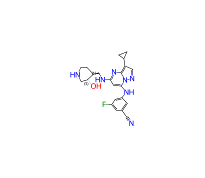 N#Cc1cc(F)cc(Nc2cc(NC[C@@H]3CCNC[C@H]3O)nc3c(C4CC4)cnn23)c1